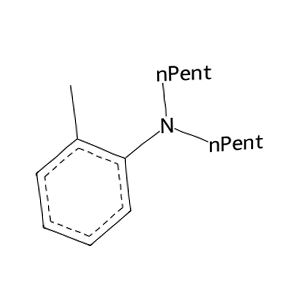 CCCCCN(CCCCC)c1ccccc1C